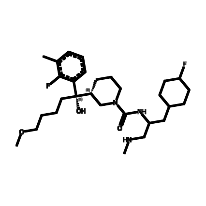 CNCC(CC1CCC(F)CC1)NC(=O)N1CCC[C@@H]([C@@](O)(CCCCOC)c2cccc(C)c2F)C1